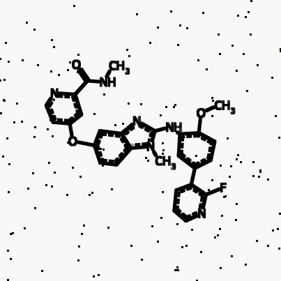 CNC(=O)c1cc(Oc2ccc3c(c2)nc(Nc2cc(-c4cccnc4F)ccc2OC)n3C)ccn1